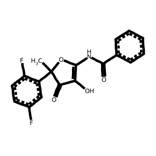 CC1(c2cc(F)ccc2F)OC(NC(=O)c2ccccc2)=C(O)C1=O